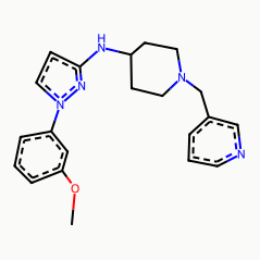 COc1cccc(-n2ccc(NC3CCN(Cc4cccnc4)CC3)n2)c1